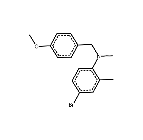 COc1ccc(CN(C)c2ccc(Br)cc2C)cc1